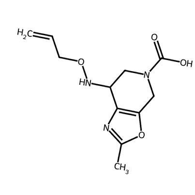 C=CCONC1CN(C(=O)O)Cc2oc(C)nc21